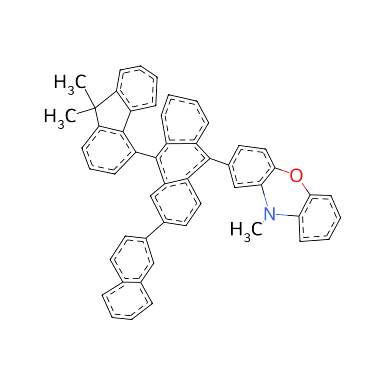 CN1c2ccccc2Oc2ccc(-c3c4ccccc4c(-c4cccc5c4-c4ccccc4C5(C)C)c4cc(-c5ccc6ccccc6c5)ccc34)cc21